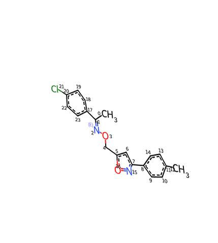 C/C(=N\OCc1cc(-c2ccc(C)cc2)no1)c1ccc(Cl)cc1